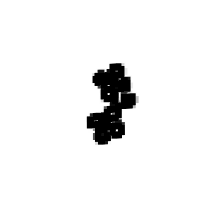 c1ccc(N(c2ccc3c(c2)-c2ccccc2C3(c2ccccc2)c2ccccc2)c2ccc3c(c2)C(c2ccccc2)(c2ccccc2)c2ccccc2-3)cc1